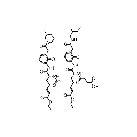 CCOC(=O)/C=C/CC[C@H](NC(=O)CCC(=O)O)C(=O)Nc1cccn(CC(=O)NCC(C)CC)c1=O.CCOC(=O)/C=C/CC[C@H](NC(C)=O)C(=O)Nc1cccn(CC(=O)N2CCCC(C)C2)c1=O